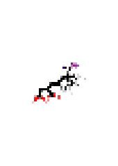 C/C(=C\C1CC(=O)OC1=O)CC(C)(C)B(P)I